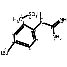 CC(C)(C)c1ccc(NC(=N)N)cc1.CS(=O)(=O)O